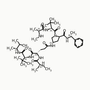 CN[C@@H](C)C(=O)N[C@@H](CCC(=O)N[C@H]1CC(C(=O)N[C@H](C)c2ccccc2)N(C(=O)[C@@H](NC(=O)[C@H](C)NC)C(C)(C)C)C1)C(=O)N[C@H](C(=O)N[C@@H](C)C(C)C)C(C)(C)C